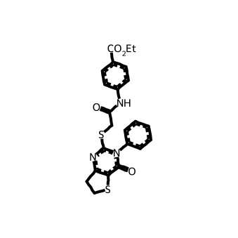 CCOC(=O)c1ccc(NC(=O)CSc2nc3c(c(=O)n2-c2ccccc2)SCC3)cc1